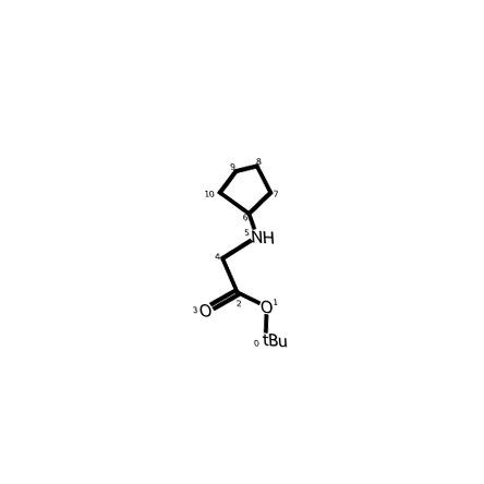 CC(C)(C)OC(=O)CNC1CCCC1